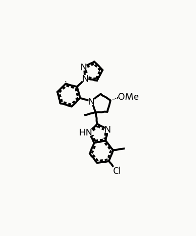 CO[C@H]1CN(c2ccc[c]c2-n2cccn2)C(C)(c2nc3c(C)c(Cl)ccc3[nH]2)C1